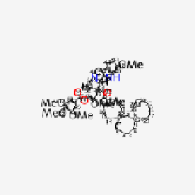 C1CCCCCCCCC1.C1CCCCCCCCC1.C1CCCCCCCCC1.COC(=O)[C@H]1[C@H]2C[C@@H]3c4[nH]c5cc(OC)ccc5c4CCN3C[C@H]2C[C@@H](OC(=O)c2cc(OC)c(OC)c(OC)c2)[C@@H]1OC